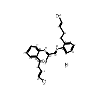 CCC=CCCc1ccccc1N=CC(CCCC)=Nc1ccccc1CCC=CCC.[Ni]